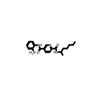 CCCCCC(C)NC(=O)c1ccc(C(=O)Nc2ccccc2N)cn1